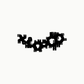 CN1CC(N)(Cc2ccc(NC(=O)OC(C)(C)C)cc2)CN[C@@H]2CCCC[C@H]21